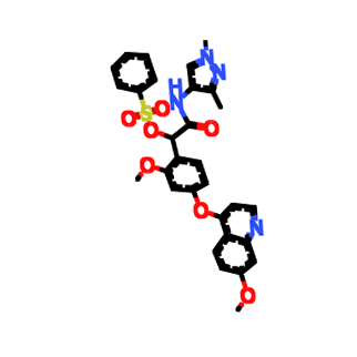 COc1ccc2c(Oc3ccc(C(OS(=O)(=O)c4ccccc4)C(=O)Nc4cn(C)nc4C)c(OC)c3)ccnc2c1